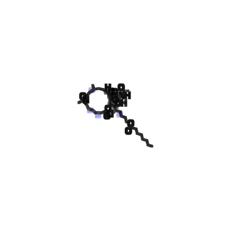 CCCCCCCC(=O)OCC/C=C/C(Cl)[C@H](O)[C@@H]1OC(=O)/C=C\C=C\c2nc(oc2C)/C=C(/C)CC[C@H]2O[C@@H]2[C@H]1OC(=O)NC(C)=O